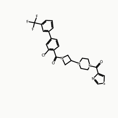 O=C(c1cscn1)N1CCN(C2CN(C(=O)c3ccc(-c4cccc(C(F)(F)F)c4)cc3Cl)C2)CC1